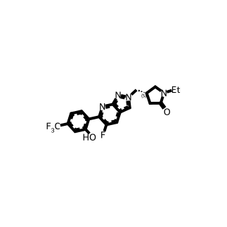 CCN1C[C@@H](Cn2cc3cc(F)c(-c4ccc(C(F)(F)F)cc4O)nc3n2)CC1=O